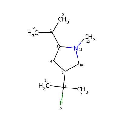 CC(C)C1CC(C(C)(C)F)CN1C